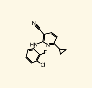 N#Cc1ccc(C2CC2)nc1Nc1cccc(Cl)c1F